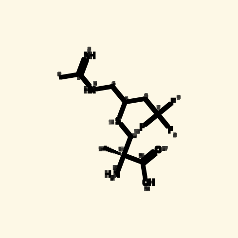 CC(=N)NCC(CC(F)(F)F)SC[C@](C)(N)C(=O)O